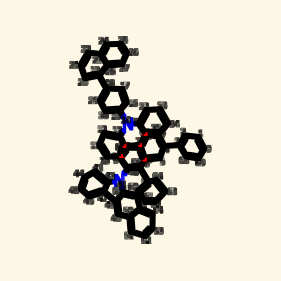 c1ccc(-c2ccc(-c3ccccc3N(c3ccc(-c4cccc5ccccc45)cc3)c3ccccc3-c3ccc(-n4c5ccccc5c5cc6ccccc6cc54)c(-c4ccccc4)c3)cc2)cc1